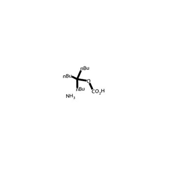 CCCCC(CCCC)(CCCC)OC(=O)O.N